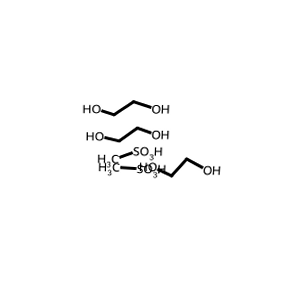 CS(=O)(=O)O.CS(=O)(=O)O.OCCO.OCCO.OCCO